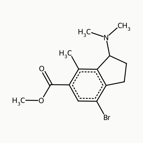 COC(=O)c1cc(Br)c2c(c1C)C(N(C)C)CC2